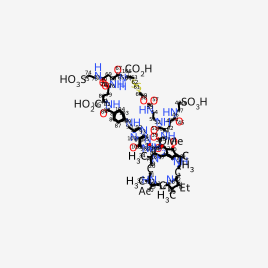 CC[C@H]1c2cc3[nH]c4c(c3C)C(=O)C(C(=O)OC)c4c3nc(cc4[nH]c(cc(n2)[C@@H]1C)c(C(C)=O)c4C)[C@@H](C)[C@@H]3CCC(=O)N[C@@H](CCC(=O)NCCS(=O)(=O)O)C(=O)NCCNC(=O)OCCSSC[C@H](NC(=O)[C@H](CC(=O)NCCS(=O)(=O)O)NC(=O)CC[C@H](NC(=O)c1ccc(NCc2cnc3nc(N)[nH]c(=O)c3n2)cc1)C(=O)O)C(=O)O